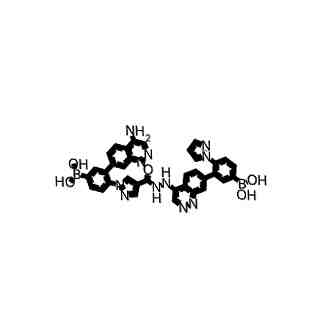 Nc1cnnc2cc(-c3cc(B(O)O)ccc3-n3cc(C(=O)NNc4cnnc5cc(-c6cc(B(O)O)ccc6-n6cccn6)ccc45)cn3)ccc12